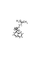 CN(C)CCCNS(=O)(=O)c1cccc2ccccc12